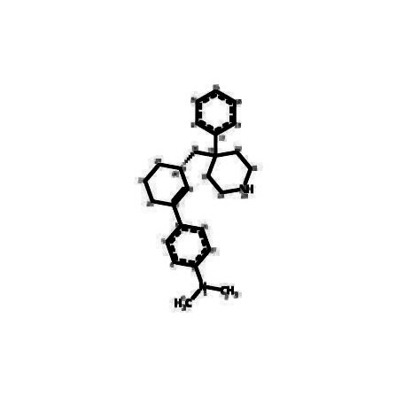 CN(C)c1ccc(C2=C[C@@H](CC3(c4ccccc4)CCNCC3)CCC2)cc1